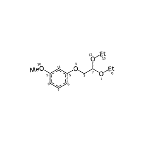 CCOC(COc1cccc(OC)c1)OCC